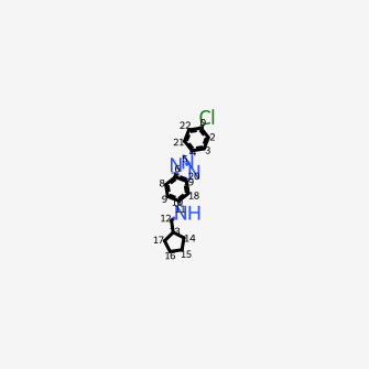 Clc1ccc(-n2nc3ccc(NCC4CCCC4)cc3n2)cc1